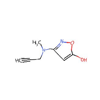 C#CCN(C)c1cc(O)on1